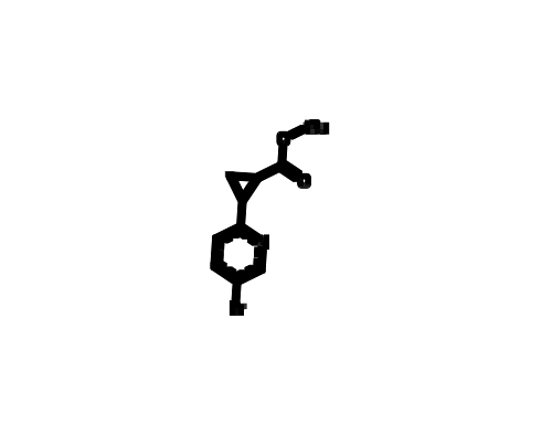 CC(C)(C)OC(=O)C1CC1c1ccc(Br)cn1